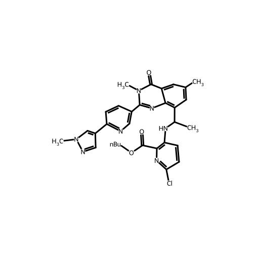 CCCCOC(=O)c1nc(Cl)ccc1NC(C)c1cc(C)cc2c(=O)n(C)c(-c3ccc(-c4cnn(C)c4)nc3)nc12